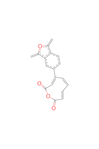 C=c1oc(=C)c2cc(C3=C\C(=O)OC(=O)/C=C/C=C\3)ccc12